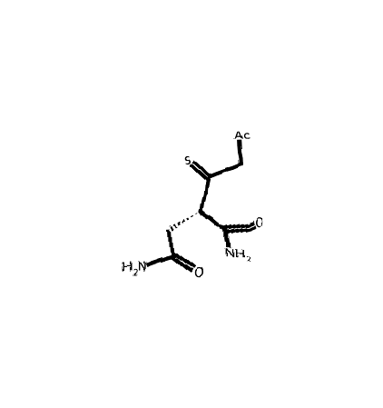 CC(=O)CC(=S)[C@@H](CC(N)=O)C(N)=O